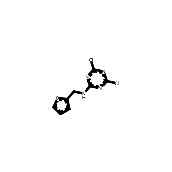 Clc1nc(Cl)nc(NCc2ccco2)n1